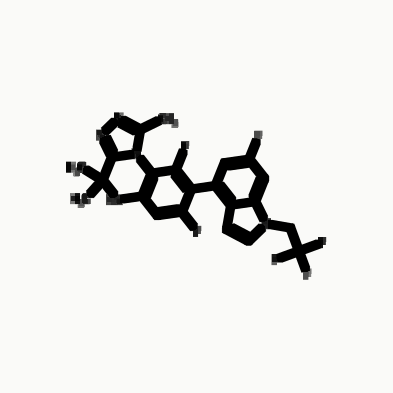 Cc1nnc2n1-c1c(cc(F)c(-c3cc(F)cc4c3ccn4CC(F)(F)F)c1F)NC2(C)C